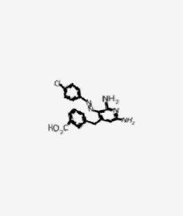 Nc1cc(Cc2cccc(C(=O)O)c2)c(N=Nc2ccc(Cl)cc2)c(N)n1